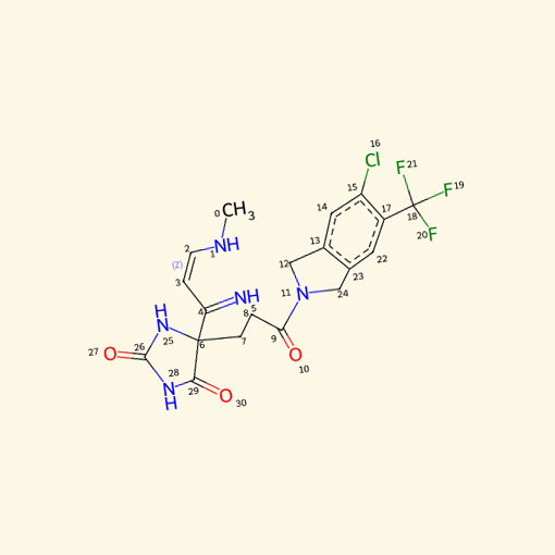 CN/C=C\C(=N)C1(CCC(=O)N2Cc3cc(Cl)c(C(F)(F)F)cc3C2)NC(=O)NC1=O